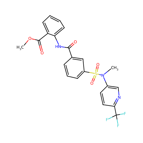 COC(=O)c1ccccc1NC(=O)c1cccc(S(=O)(=O)N(C)c2ccc(C(F)(F)F)nc2)c1